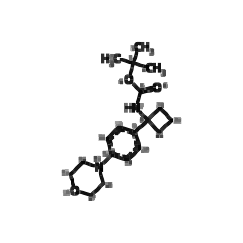 CC(C)(C)OC(=O)NC1(c2ccc(N3CCOCC3)cc2)CCC1